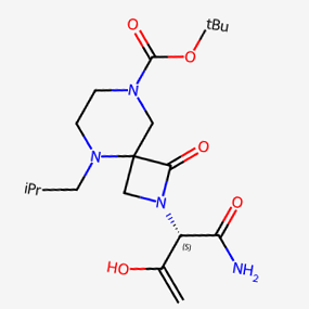 C=C(O)[C@@H](C(N)=O)N1CC2(CN(C(=O)OC(C)(C)C)CCN2CC(C)C)C1=O